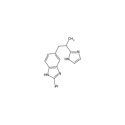 CC(C)c1nc2cc(CC(C)c3ncc[nH]3)ccc2[nH]1